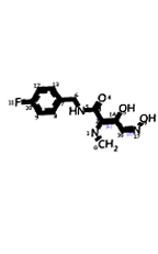 C=N/C(C(=O)NCc1ccc(F)cc1)=C(O)\C=N/O